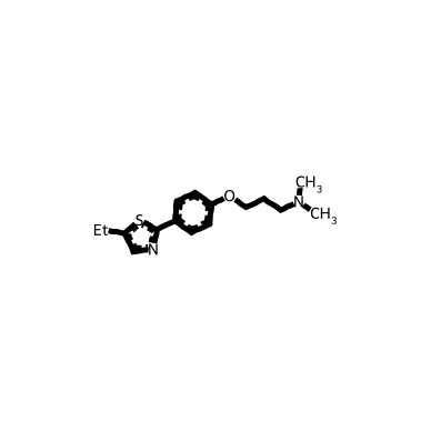 CCc1cnc(-c2ccc(OCCCN(C)C)cc2)s1